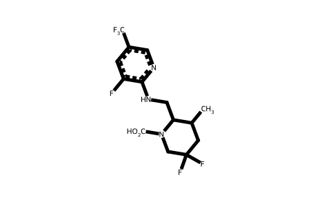 CC1CC(F)(F)CN(C(=O)O)C1CNc1ncc(C(F)(F)F)cc1F